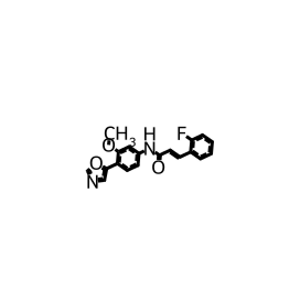 COc1cc(NC(=O)C=Cc2ccccc2F)ccc1-c1cnco1